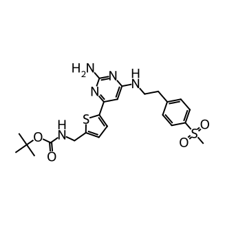 CC(C)(C)OC(=O)NCc1ccc(-c2cc(NCCc3ccc(S(C)(=O)=O)cc3)nc(N)n2)s1